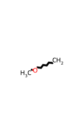 C=CCCCCCOCC